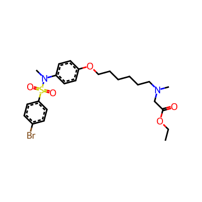 CCOC(=O)CN(C)CCCCCCOc1ccc(N(C)S(=O)(=O)c2ccc(Br)cc2)cc1